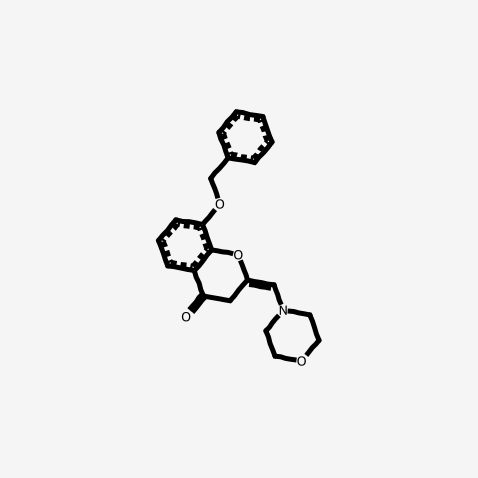 O=C1C/C(=C\N2CCOCC2)Oc2c(OCc3ccccc3)cccc21